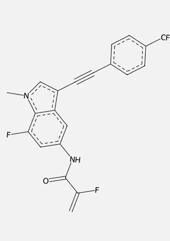 C=C(F)C(=O)Nc1cc(F)c2c(c1)c(C#Cc1ccc(C(F)(F)F)cc1)cn2C